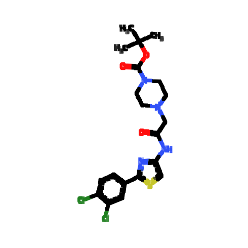 CC(C)(C)OC(=O)N1CCN(CC(=O)Nc2csc(-c3ccc(Cl)c(Cl)c3)n2)CC1